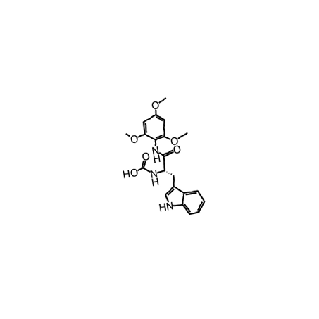 COc1cc(OC)c(NC(=O)[C@H](Cc2c[nH]c3ccccc23)NC(=O)O)c(OC)c1